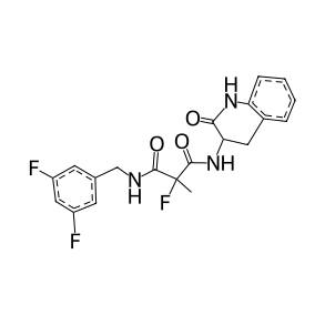 CC(F)(C(=O)NCc1cc(F)cc(F)c1)C(=O)NC1Cc2ccccc2NC1=O